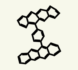 c1ccc2cc3c(-c4ccc(-c5c6ccccc6cc6cc7ccccc7cc56)cc4)c4ccccc4cc3cc2c1